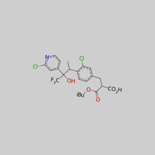 CCC(C)OC(=O)C(Cc1ccc(C(C)C(O)(c2ccnc(Cl)c2)C(F)(F)F)c(Cl)c1)C(=O)O